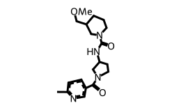 COCC1CCCN(C(=O)NC2CCN(C(=O)c3ccc(C)nc3)C2)C1